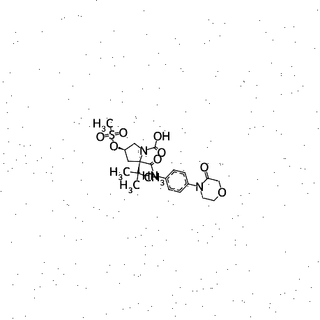 CC(C)(C)[C@@]1(C(=O)Nc2ccc(N3CCOCC3=O)cc2)C[C@@H](OS(C)(=O)=O)CN1C(=O)O